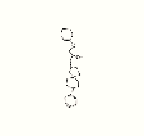 OC(COC1CCCCC1)CN1CCC2(CCN(c3ccccc3)CC2)C1